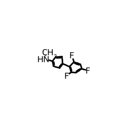 CNc1ccc(-c2c(F)cc(F)cc2F)cc1